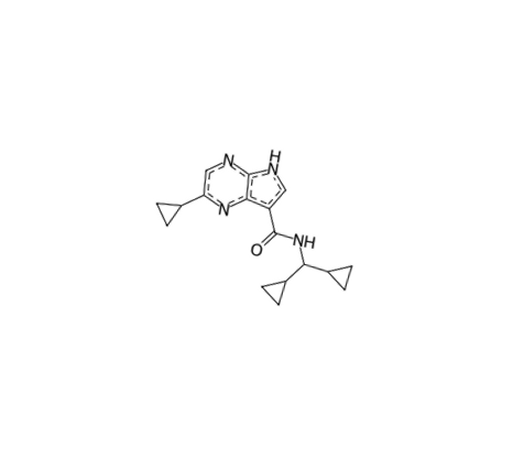 O=C(NC(C1CC1)C1CC1)c1c[nH]c2ncc(C3CC3)nc12